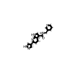 O=C(NCc1cccnc1)c1c[nH]c2nc(-c3cn[nH]c3)ccc12